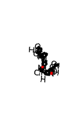 CNC(=O)COc1cc2cc(Nc3nc(N4CCC5CN(c6cccc7c(C8CCC(=O)NC8=O)nn(C)c67)CC5C4)ncc3Cl)ccc2n(C)c1=O